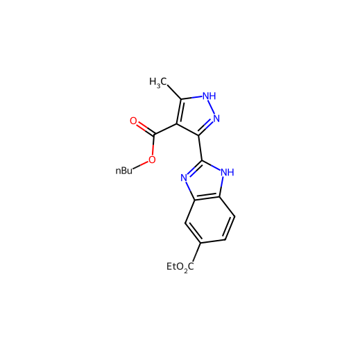 CCCCOC(=O)c1c(-c2nc3cc(C(=O)OCC)ccc3[nH]2)n[nH]c1C